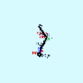 CC(/C=C/C=C/C(=O)N[C@@H]1C[C@@H](C(=O)O)CC[C@@H]1O)=C\C=C\C=C(/Cl)[C@@H](C)[C@@H](O)[C@H](O)[C@H](O)C[C@@H](O)/C=C/C=C/C(C)C